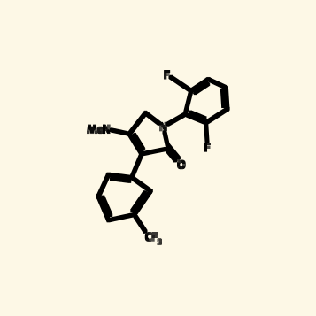 CNC1=C(c2cccc(C(F)(F)F)c2)C(=O)N(c2c(F)cccc2F)C1